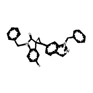 O=C1N(Cc2ccccc2)c2ccc(F)cc2[C@]12CC2c1ccc2cnn(Cc3ccccc3)c2c1